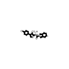 O=C(O)c1c(-c2ccc(Cl)cc2)csc1NC(=O)n1cc2ccccc2c1